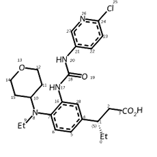 CC[C@@H](CC(=O)O)c1ccc(N(CC)C2CCOCC2)c(NC(=O)Nc2ccc(Cl)nc2)c1